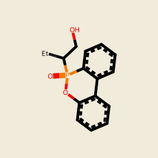 CCC(CO)P1(=O)Oc2ccccc2-c2ccccc21